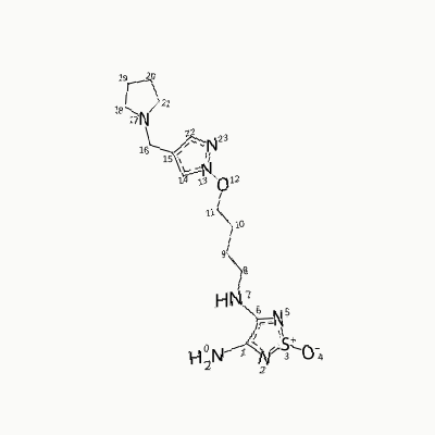 Nc1n[s+]([O-])nc1NCCCCOn1cc(CN2CCCC2)cn1